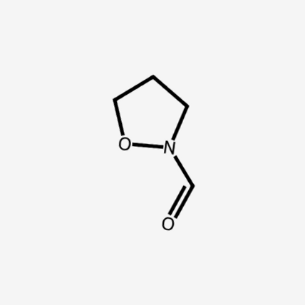 O=CN1CCCO1